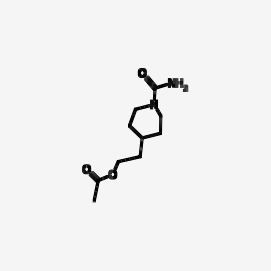 CC(=O)OCCC1CCN(C(N)=O)CC1